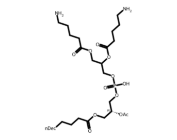 CCCCCCCCCCCCCC(=O)OC[C@H](COP(=O)(O)OCC(COC(=O)CCCCN)OC(=O)CCCCN)OC(C)=O